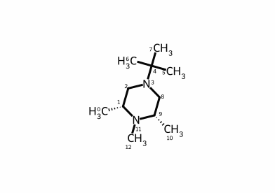 C[C@@H]1CN(C(C)(C)C)C[C@H](C)N1C